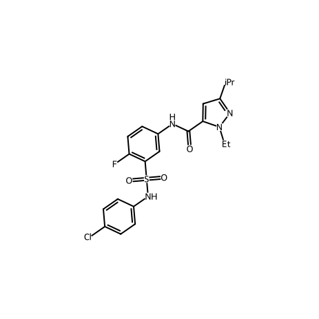 CCn1nc(C(C)C)cc1C(=O)Nc1ccc(F)c(S(=O)(=O)Nc2ccc(Cl)cc2)c1